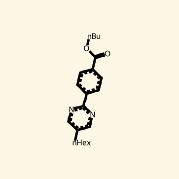 CCCCCCc1cnc(-c2ccc(C(=O)OCCCC)cc2)nc1